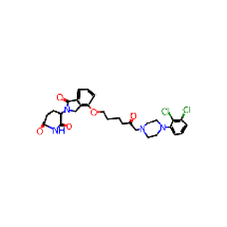 O=C(CCCCOc1cccc2c1CN(C1CCC(=O)NC1=O)C2=O)CN1CCN(c2cccc(Cl)c2Cl)CC1